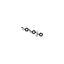 CCOc1ccc(/C=N/c2ccc(OC(=O)c3ccccc3)cc2)cc1